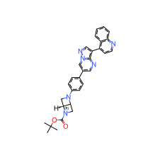 CC(C)(C)OC(=O)N1CC2[C@H]1CN2c1ccc(-c2cnc3c(-c4ccnc5ccccc45)cnn3c2)cc1